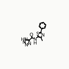 Cc1nc(-c2ccccc2)sc1NC(=O)c1nnn[nH]1